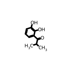 CC(C)C(=O)c1cccc(O)c1O